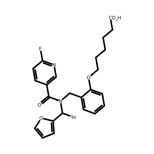 [2H]C(c1ccco1)N(Cc1ccccc1OCCCCCC(=O)O)C(=O)c1ccc(F)nc1